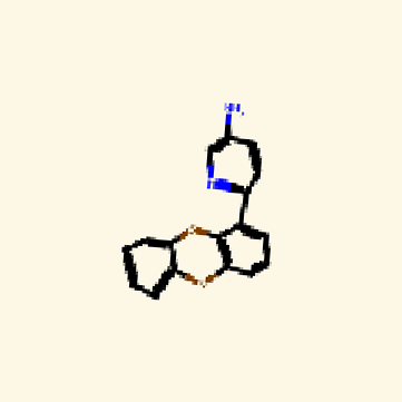 Nc1ccc(-c2cccc3c2Sc2ccccc2S3)nc1